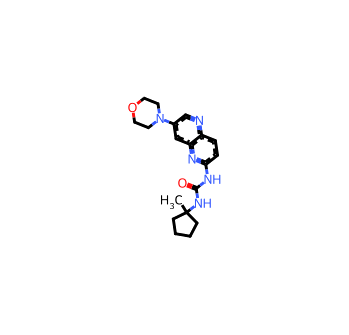 CC1(NC(=O)Nc2ccc3ncc(N4CCOCC4)cc3n2)CCCC1